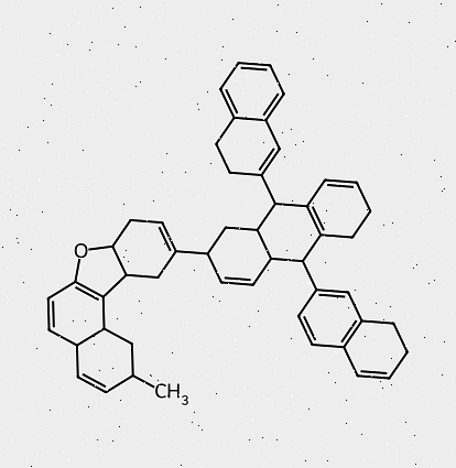 CC1C=CC2C=CC3=C(C2C1)C1CC(C2C=CC4C(c5ccc6c(c5)CCC=C6)C5=C(C=CCC5)C(C5=Cc6ccccc6CC5)C4C2)=CCC1O3